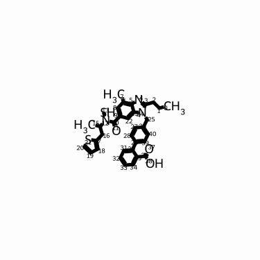 CCCc1nc2c(C)cc(C(=O)N(S)C(C)Cc3cccs3)cc2n1Cc1ccc(-c2ccccc2C(=O)O)cc1